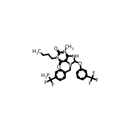 CCCCn1c(=O)c2c(n(C)c1=O)NC(Oc1cccc(C(F)(F)F)c1)N2Cc1ccc(C(F)(F)P)cc1